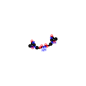 Cn1c(=O)cc2c3c(c(Nc4ccc(CCOC(=O)NCNC(=O)COCc5ccc(Nc6ccc7c8c(cc(=O)n7C)-c7ccccc7C(=O)c68)cc5)cc4)ccc31)C(=O)c1ccccc1-2